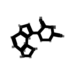 O=C1CCC(c2coc3ccc4c(c23)OCO4)C(=O)N1